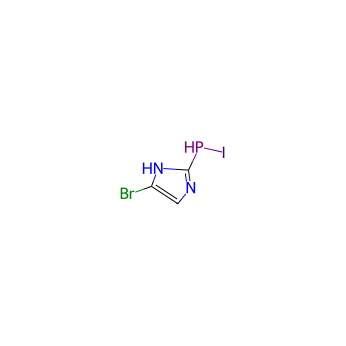 Brc1cnc(PI)[nH]1